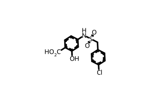 O=C(O)c1ccc(NS(=O)(=O)Cc2ccc(Cl)cc2)cc1O